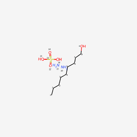 CCCCCCCCCO.N.N.O=S(=O)(O)O